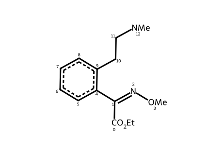 CCOC(=O)C(=NOC)c1ccccc1CCNC